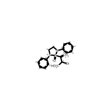 C=C(C(CC)C(=O)O)P1(=O)N(c2ccccc2)CCN1c1ccccc1